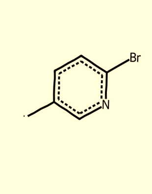 [CH2]c1ccc(Br)nc1